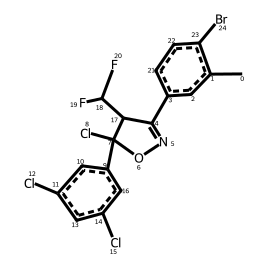 Cc1cc(C2=NOC(Cl)(c3cc(Cl)cc(Cl)c3)C2C(F)F)ccc1Br